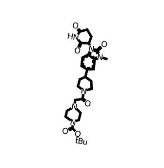 Cn1c(=O)n(C2CCC(=O)NC2=O)c2ccc(C3CCN(C(=O)CN4CCN(C(=O)OC(C)(C)C)CC4)CC3)cc21